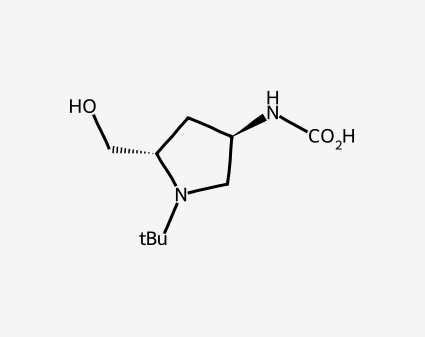 CC(C)(C)N1C[C@H](NC(=O)O)C[C@H]1CO